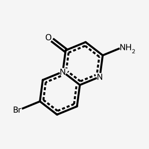 Nc1cc(=O)n2cc(Br)ccc2n1